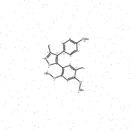 CCCCOc1cc(OCCCC)c(-c2onc(C)c2-c2ccc(OC)cc2)cc1C